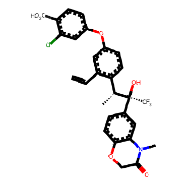 C=Cc1cc(Oc2ccc(C(=O)O)c(Cl)c2)ccc1[C@@H](C)[C@@](O)(c1ccc2c(c1)N(C)C(=O)CO2)C(F)(F)F